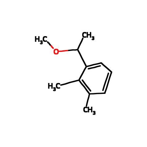 COC(C)c1cccc(C)c1C